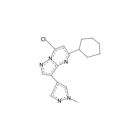 Cn1cc(-c2cnn3c(Cl)cc(C4CCCCC4)nc23)cn1